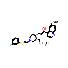 COc1ccc2nccc([C@@H](O)CC[C@@H]3CCN(CCSc4cccc(F)c4)C[C@@H]3CC(=O)O)c2c1